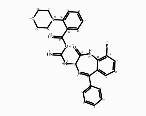 N=C(N[C@@H]1N=C(c2ccccc2)c2cccc(F)c2NC1=O)OC(=N)c1ccccc1N1CCOCC1